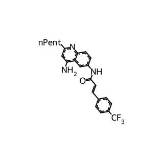 CCCCCc1cc(N)c2cc(NC(=O)C=Cc3ccc(C(F)(F)F)cc3)ccc2n1